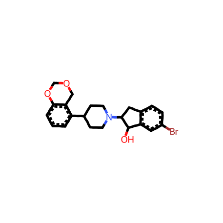 OC1c2cc(Br)ccc2CC1N1CCC(c2cccc3c2COCO3)CC1